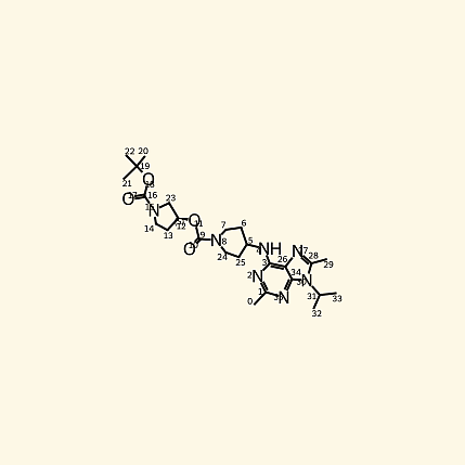 Cc1nc(NC2CCN(C(=O)O[C@H]3CCN(C(=O)OC(C)(C)C)C3)CC2)c2nc(C)n(C(C)C)c2n1